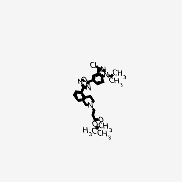 CC(C)n1nc(Cl)c2cc(-c3nc(-c4cccc5c4CCN(CCC(=O)OC(C)(C)C)C5)no3)ccc21